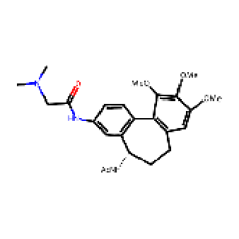 COc1cc2c(c(OC)c1OC)-c1ccc(NC(=O)CN(C)C)cc1[C@@H](NC(C)=O)CC2